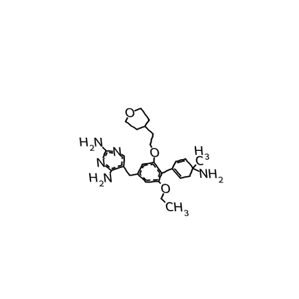 CCOc1cc(Cc2cnc(N)nc2N)cc(OCCC2CCOCC2)c1C1=CCC(C)(N)C=C1